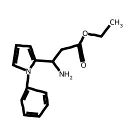 CCOC(=O)CC(N)c1cccn1-c1ccccc1